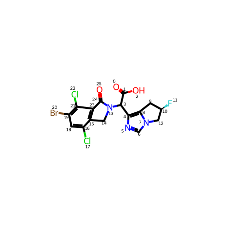 O=C(O)C(c1ncn2c1C[C@@H](F)C2)N1Cc2c(Cl)cc(Br)c(Cl)c2C1=O